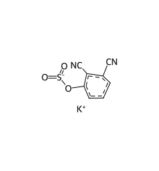 N#Cc1cccc(O[S-](=O)=O)c1C#N.[K+]